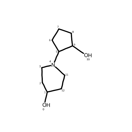 OC1CCN(C2CCCC2O)CC1